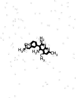 Cc1cc(C)c2c(N)c(-c3cccc(CN(C)C)c3)c(N)nc2n1